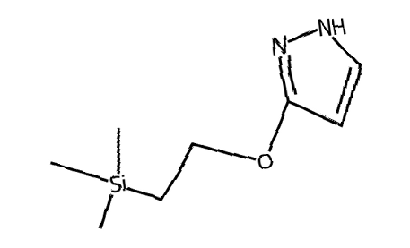 C[Si](C)(C)CCOc1cc[nH]n1